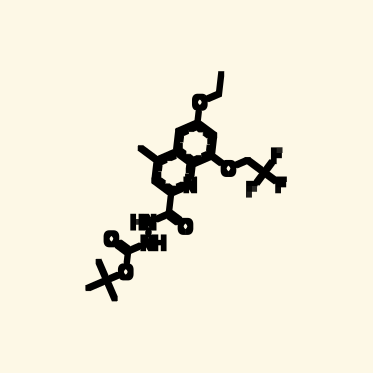 CCOc1cc(OCC(F)(F)F)c2nc(C(=O)NNC(=O)OC(C)(C)C)cc(C)c2c1